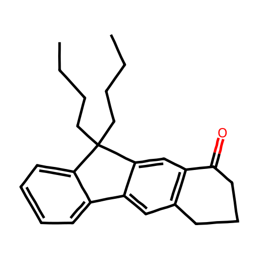 CCCCC1(CCCC)c2ccccc2-c2cc3c(cc21)C(=O)CCC3